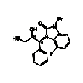 CC(C)n1c(=O)n([C@@H](c2ccccc2)[C@H](O)CO)c2c(F)cccc21